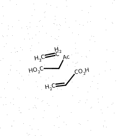 C=C.C=CC(=O)O.CC(=O)CC(=O)O